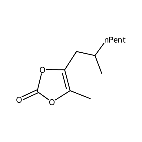 CCCCCC(C)Cc1oc(=O)oc1C